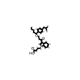 CCCCC(OCCC(=O)c1cn(CCCC(=O)O)c2ccccc12)c1ccc(CC(C)C)cc1